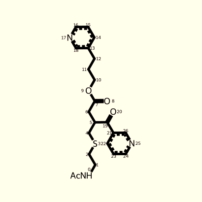 CC(=O)NCCSCC(CC(=O)OCCCc1cccnc1)C(=O)c1cccnc1